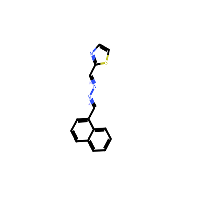 C(=N\N=C\c1cccc2ccccc12)/c1nccs1